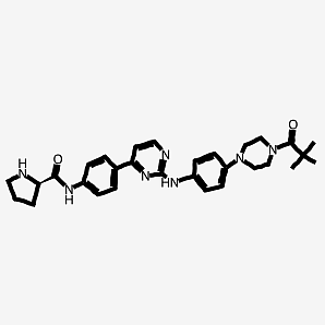 CC(C)(C)C(=O)N1CCN(c2ccc(Nc3nccc(-c4ccc(NC(=O)[C@H]5CCCN5)cc4)n3)cc2)CC1